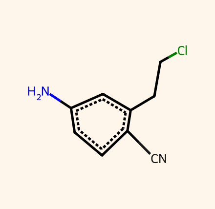 N#Cc1ccc(N)cc1CCCl